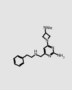 CNC1CN(c2cc(CNCCc3ccccc3)nc(N)n2)C1